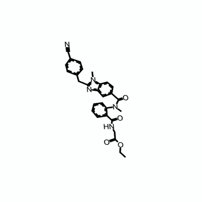 CCOC(=O)CNC(=O)c1ccccc1N(C)C(=O)c1ccc2c(c1)nc(Cc1ccc(C#N)cc1)n2C